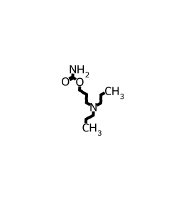 CCCN(CCC)CCCOC(N)=O